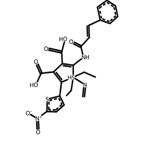 C=N[SH]1(CC)(CC)C(NC(=O)C=Cc2ccccc2)=C(C(=O)O)C(C(=O)O)=C1c1ccc([N+](=O)[O-])s1